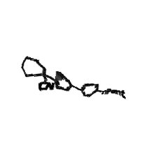 CCCCCc1ccc(-c2ccc(C3(C#N)CCCCC3)cc2)cc1